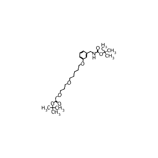 CC(C)(C)OC(=O)COCCCOCCCCCOc1cccc(CNC(=O)OC(C)(C)C)c1